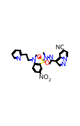 CC(=NN(C)S(=O)(=O)c1cc([N+](=O)[O-])ccc1N(C)CCc1ccccn1)c1cnn2ccc(C#N)cc12